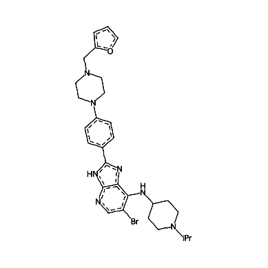 CC(C)N1CCC(Nc2c(Br)cnc3[nH]c(-c4ccc(N5CCN(Cc6ccco6)CC5)cc4)nc23)CC1